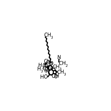 C=CC#N.CCCCCCCCCCCCCC(=O)O[C@@H]1[C@@H](C)[C@@]2(O)[C@@H](C=C(CO)C[C@]3(O)C(=O)C(C)=C[C@@H]23)[C@@H]2C(C)(C)[C@]12OC(C)=O